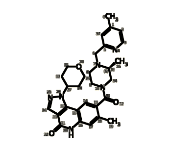 Cc1ccnc(CN2CCN(C(=O)c3cc4c(cc3C)[nH]c(=O)c3cnn(C5CCOCC5)c34)C[C@@H]2C)c1